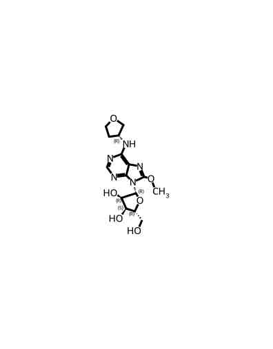 COc1nc2c(N[C@@H]3CCOC3)ncnc2n1[C@@H]1O[C@H](CO)[C@@H](O)[C@H]1O